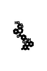 Cc1ccc(-c2ccccc2C(=O)Nc2ccc(C(=O)N3CCC(=O)N(CC(=O)O)c4ccccc43)cc2Cl)c(C)c1